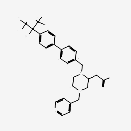 O=C(O)CC1CN(Cc2ccncc2)CCN1Cc1ccc(-c2ccc(C(O)(C(F)(F)F)C(F)(F)F)cc2)cc1